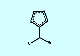 ClC(Br)c1cccs1